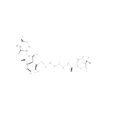 O=C1CCC(N2C(=O)c3ccc(F)c(SCCCCCCC(=O)N4CCC(F)(F)CC4)c3C2=O)C(=O)N1